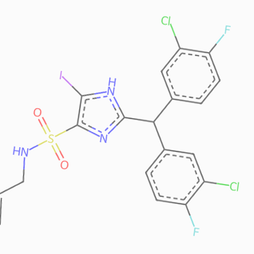 C=CCNS(=O)(=O)c1nc(C(c2ccc(F)c(Cl)c2)c2ccc(F)c(Cl)c2)[nH]c1I